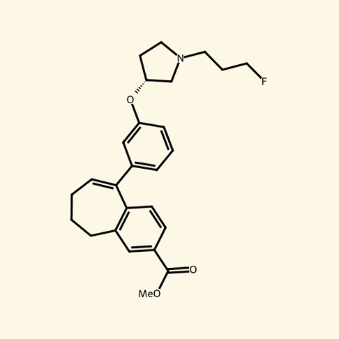 COC(=O)c1ccc2c(c1)CCCC=C2c1cccc(O[C@@H]2CCN(CCCF)C2)c1